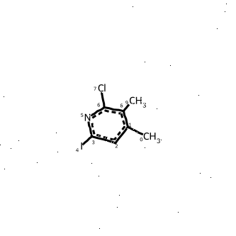 Cc1cc(I)nc(Cl)c1C